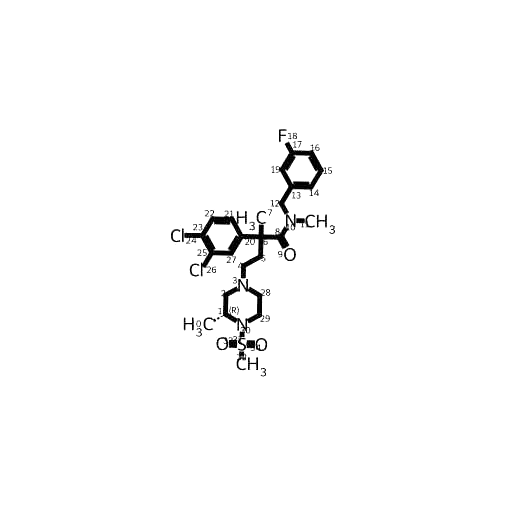 C[C@@H]1CN(CCC(C)(C(=O)N(C)Cc2cccc(F)c2)c2ccc(Cl)c(Cl)c2)CCN1S(C)(=O)=O